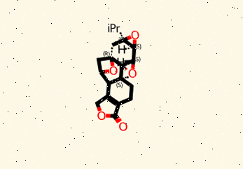 CC(C)[C@@]12C[C@@]34CC(O3)C3C5=C(CC[C@]3(C)[C@@]43O[C@H]3[C@@H]1O2)C(=O)OC5